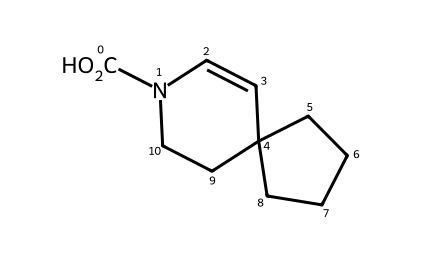 O=C(O)N1C=CC2(CCCC2)CC1